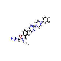 CN(Cc1cccc(-c2cnc(N3CCN(C4CCCCC4)CC3)nc2)c1)C(=O)CN